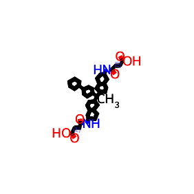 CC(c1ccc(-c2ccccc2)cc1)(c1ccc2cc(NC(=O)/C=C/C(=O)O)ccc2c1)c1ccc2cc(NC(=O)/C=C/C(=O)O)ccc2c1